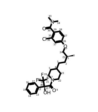 C[C@@H](CCC1CCN(C(=O)[C@](O)(c2ccccc2)C(F)(F)F)CC1)COc1ccc(C(=O)N(C)C)c(Cl)c1